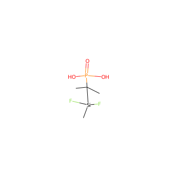 CC(C)([Si](C)(F)F)P(=O)(O)O